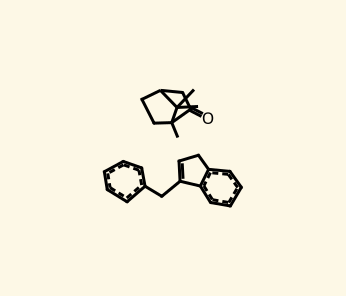 C1=C(Cc2ccccc2)c2ccccc2C1.CC12CCC(CC1=O)C2(C)C